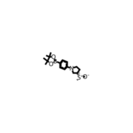 C[S+]([O-])[C@@H]1CCN(c2ccc(B3OC(C)(C)C(C)(C)O3)cc2)C1